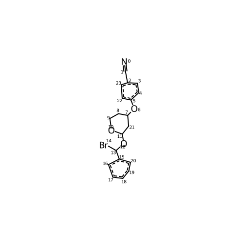 N#Cc1ccc(OC2CCOC(OC(Br)c3ccccc3)C2)cc1